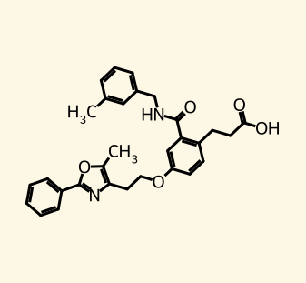 Cc1cccc(CNC(=O)c2cc(OCCc3nc(-c4ccccc4)oc3C)ccc2CCC(=O)O)c1